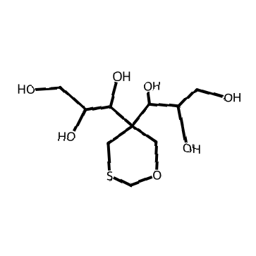 OCC(O)C(O)C1(C(O)C(O)CO)COCSC1